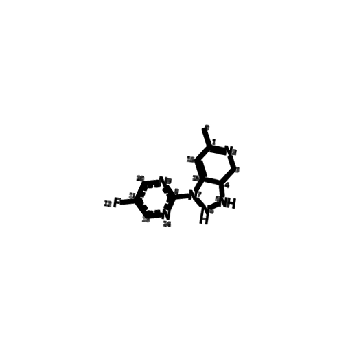 CC1=NCC2NNN(c3ncc(F)cn3)C2=C1